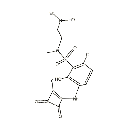 CCN(CC)CCN(C)S(=O)(=O)c1c(Cl)ccc(Nc2c(Cl)c(=O)c2=O)c1O